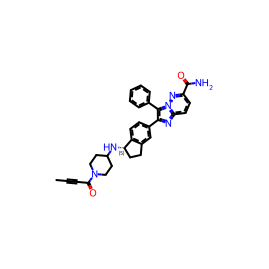 CC#CC(=O)N1CCC(N[C@H]2CCc3cc(-c4nc5ccc(C(N)=O)nn5c4-c4ccccc4)ccc32)CC1